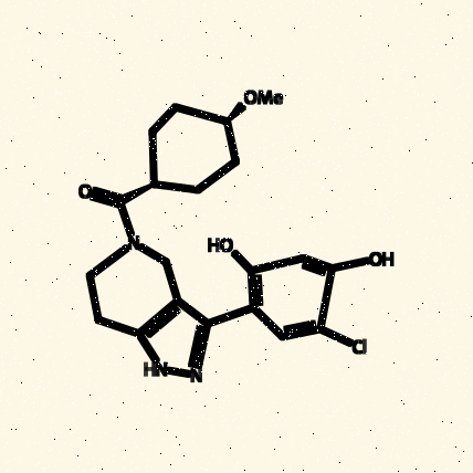 CO[C@H]1CC[C@@H](C(=O)N2CCc3[nH]nc(-c4cc(Cl)c(O)cc4O)c3C2)CC1